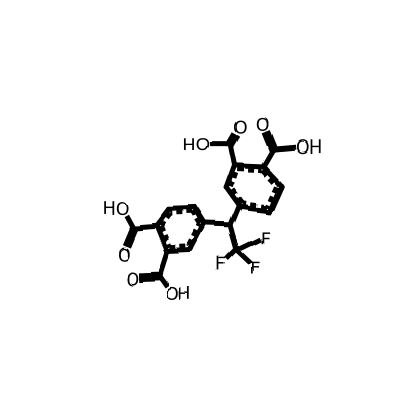 O=C(O)c1ccc(C(c2ccc(C(=O)O)c(C(=O)O)c2)C(F)(F)F)cc1C(=O)O